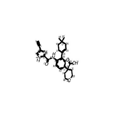 C#Cc1c[nH]c(C(=O)Nc2ccc(C3(C(=O)O)CCOCC3)cc2C2=CCC(C)(C)CC2)n1